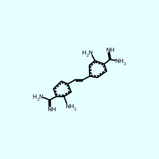 N=C(N)c1ccc(C=Cc2ccc(C(=N)N)c(N)c2)cc1N